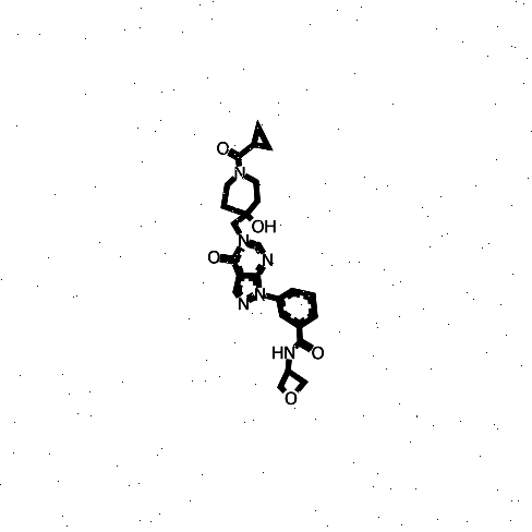 O=C(NC1COC1)c1cccc(-n2ncc3c(=O)n(CC4(O)CCN(C(=O)C5CC5)CC4)cnc32)c1